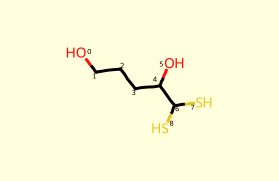 OCCCC(O)C(S)S